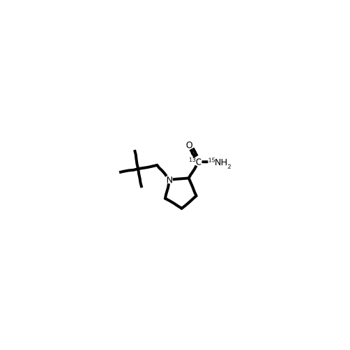 CC(C)(C)CN1CCCC1[13C]([15NH2])=O